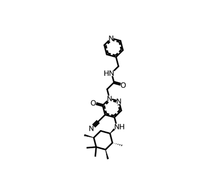 C[C@@H]1[C@@H](C)C(C)(C)[C@@H](C)C[C@H]1Nc1cnn(CC(=O)NCc2ccncc2)c(=O)c1C#N